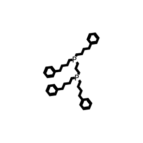 c1ccc(CCCCP(CCCCc2ccccc2)CCCP(CCCCc2ccccc2)CCCCc2ccccc2)cc1